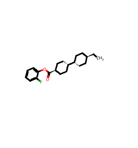 CC[C@H]1CC[C@H]([C@H]2CC[C@H](C(=O)Oc3ccccc3F)CC2)CC1